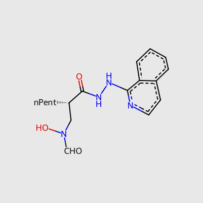 CCCCC[C@@H](CN(O)C=O)C(=O)NNc1nccc2ccccc12